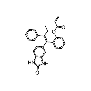 C=CC(=O)Oc1ccccc1/C(=C(\CC)c1ccccc1)c1ccc2[nH]c(=O)[nH]c2c1